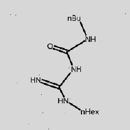 CCCCCCNC(=N)NC(=O)NCCCC